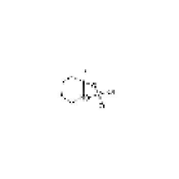 CC1([O][V](=[O])([OH])[OH])CCCCC1